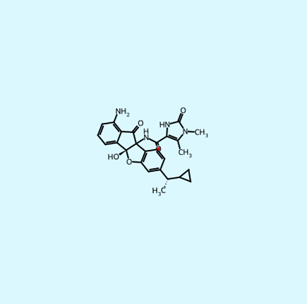 Cc1c(C(=O)NC23C(=O)c4c(N)cccc4[C@@]2(O)Oc2cc([C@@H](C)C4CC4)ccc23)[nH]c(=O)n1C